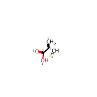 C=CC(=O)O.[CH]F